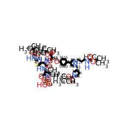 CC(C)(C)OC(=O)NCCCn1cc(-c2ccc(OC[C@H](O/N=C(\C(=O)N[C@@H]3C(=O)N(OS(=O)(=O)O)C3(C)C)c3csc(NC(=O)OC(C)(C)C)n3)C(=O)OC(C)(C)C)cc2)c[n+]1C[C@@H]1CCN(C(=O)OC(C)(C)C)C1